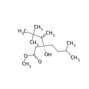 C=C(C(C)(C)C)[C@@](O)(CCC(C)C)CC(=O)OC